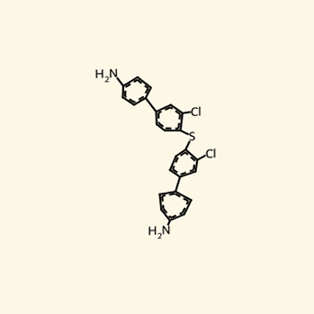 Nc1ccc(-c2ccc(Sc3ccc(-c4ccc(N)cc4)cc3Cl)c(Cl)c2)cc1